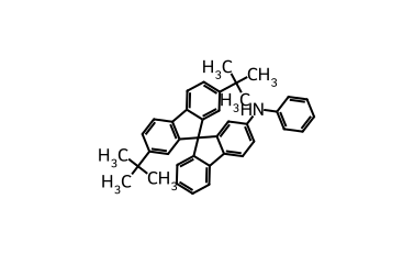 CC(C)(C)c1ccc2c(c1)C1(c3ccccc3-c3ccc(Nc4ccccc4)cc31)c1cc(C(C)(C)C)ccc1-2